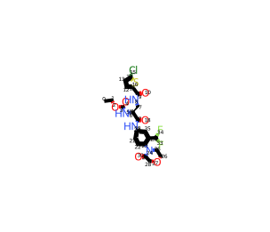 CCOC(=O)N[C@@H](CNC(=O)c1ccc(Cl)s1)C(=O)Nc1ccc(N2CCOCC2=O)c(C(F)F)c1